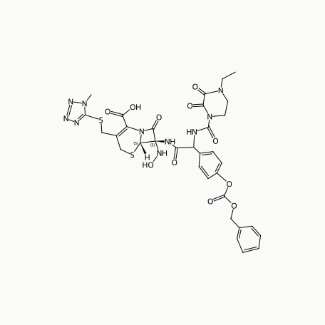 CCN1CCN(C(=O)NC(C(=O)N[C@]2(NO)C(=O)N3C(C(=O)O)=C(CSc4nnnn4C)CS[C@H]32)c2ccc(OC(=O)OCc3ccccc3)cc2)C(=O)C1=O